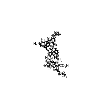 CC(=O)N[C@@H](CCCNC(=N)N)C(=O)N[C@@H](CCCNC(=N)N)C(=O)N[C@@H](Cc1ccccc1)C(=O)N[C@@H](Cc1c[nH]c2ccccc12)C(=O)N[C@@H](CCC(N)=O)C(=O)N[C@@H](CS)C(=O)N[C@H](C(=O)N[C@@H](CCCCNC(=O)C(F)(F)F)C(=O)N[C@H](C(=O)O)C(C)(C)C)[C@@H](C)O